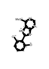 CSc1ncnc2nc(-c3c(Cl)cccc3Cl)[nH]c12